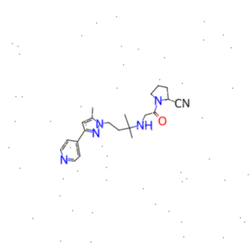 Cc1cc(-c2ccncc2)nn1CCC(C)(C)NCC(=O)N1CCCC1C#N